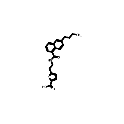 CCCCc1ccc2c(C(=O)NCCc3ccc(C(=O)O)s3)cccc2c1